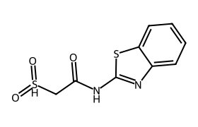 O=C(C[SH](=O)=O)Nc1nc2ccccc2s1